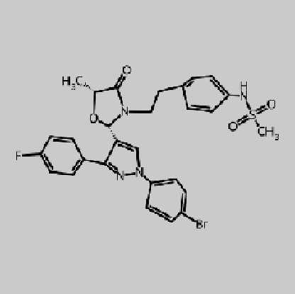 C[C@H]1O[C@@H](c2cn(-c3ccc(Br)cc3)nc2-c2ccc(F)cc2)N(CCc2ccc(NS(C)(=O)=O)cc2)C1=O